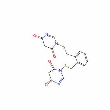 O=C1CC(=O)N(SCc2ccccc2CSN2C=NC(=O)CC2=O)C=N1